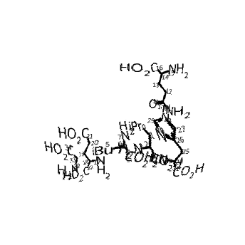 CC(C)CC(N)C(=O)O.CCC(C)C(N)C(=O)O.NC(=O)CCC(N)C(=O)O.NC(CCC(=O)O)C(=O)O.NC(Cc1c[nH]cn1)C(=O)O.NCC(=O)O